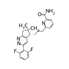 CC1(C)Cc2nnc(-c3c(F)cccc3F)cc2[C@H]1CCCc1cccc(C(N)=O)n1